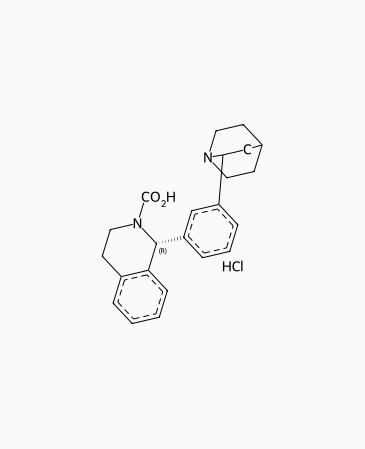 Cl.O=C(O)N1CCc2ccccc2[C@H]1c1cccc(C2CC3CCN2CC3)c1